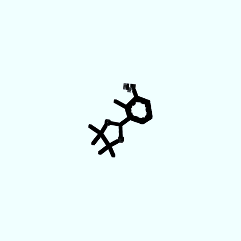 Cc1c(N)cccc1C1OC(C)(C)C(C)(C)O1